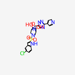 O=C(c1cnc(-c2ccncc2)nn1)N1C2CN(S(=O)(=O)c3cc4cc(Cl)ccc4[nH]3)CC1C(O)C2O